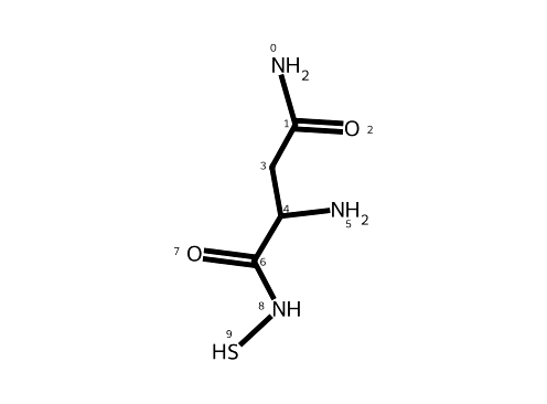 NC(=O)CC(N)C(=O)NS